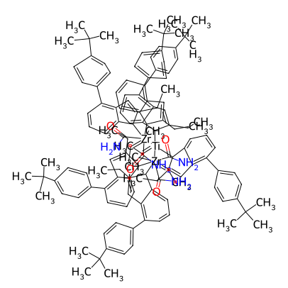 C[CH]=[Ti]([CH]1C(CC)=Cc2c(-c3ccc(C(C)(C)C)cc3)cccc21)([CH]1C(CC)=Cc2c(-c3ccc(C(C)(C)C)cc3)cccc21)([Zr]([CH3])(=[CH]C)([C](N)=O)([C](N)=O)([CH]1C(CC)=Cc2c(-c3ccc(C(C)(C)C)cc3)cccc21)[CH]1C(CC)=Cc2c(-c3ccc(C(C)(C)C)cc3)cccc21)[Zr]([CH3])(=[CH]C)([C](N)=O)([C](N)=O)([CH]1C(CC)=Cc2c(-c3ccc(C(C)(C)C)cc3)cccc21)[CH]1C(CC)=Cc2c(-c3ccc(C(C)(C)C)cc3)cccc21